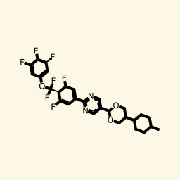 CC1CCC(C2COC(c3cnc(C4=CC(F)[C@H](C(F)(F)OC5=C[C@H](F)C(F)C(F)=C5)C(F)=C4)nc3)OC2)CC1